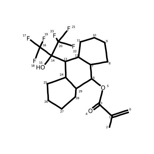 C=C(C)C(=O)OC1C2CCCCC2C(C(O)(C(F)(F)F)C(F)(F)F)C2CCCCC21